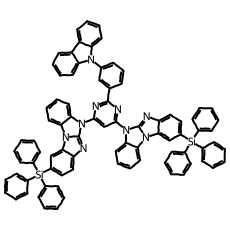 c1ccc([Si](c2ccccc2)(c2ccccc2)c2ccc3nc4n(-c5cc(-n6c7ccccc7n7c8cc([Si](c9ccccc9)(c9ccccc9)c9ccccc9)ccc8nc67)nc(-c6cccc(-n7c8ccccc8c8ccccc87)c6)n5)c5ccccc5n4c3c2)cc1